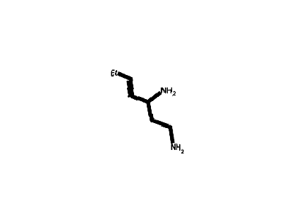 CCC=CC(N)CCN